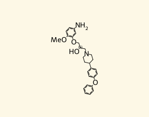 COc1ccc(N)cc1OC[C@@H](O)CN1CCC(c2ccc(Oc3ccccc3)cc2)CC1